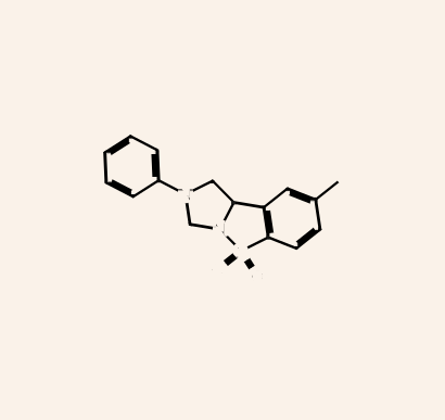 Cc1ccc2c(c1)C1CN(c3ccccc3)CN1S2(=O)=O